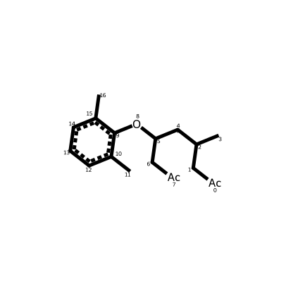 CC(=O)CC(C)[CH]C(CC(C)=O)Oc1c(C)cccc1C